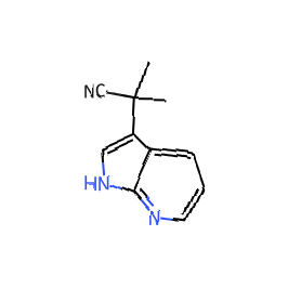 CC(C)(C#N)c1c[nH]c2ncccc12